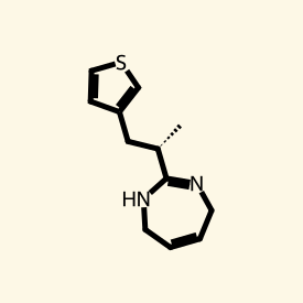 C[C@@H](Cc1ccsc1)C1=NCC=CCN1